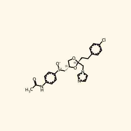 CC(=O)Nc1ccc([S+]([O-])C[C@@H]2CO[C@](CCc3ccc(Cl)cc3)(Cn3ccnc3)O2)cc1